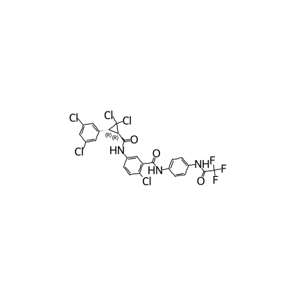 O=C(Nc1ccc(NC(=O)C(F)(F)F)cc1)c1cc(NC(=O)[C@H]2[C@H](c3cc(Cl)cc(Cl)c3)C2(Cl)Cl)ccc1Cl